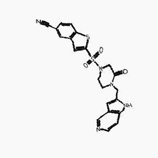 N#Cc1ccc2sc(S(=O)(=O)N3CCN(Cc4cc5cnccc5[nH]4)C(=O)C3)cc2c1